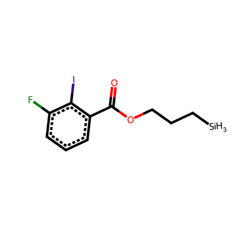 O=C(OCCC[SiH3])c1cccc(F)c1I